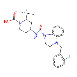 CC(C)(C)C1CC(NC(=O)N2CCN(Cc3ccccc3F)c3ccccc32)CCN1C(=O)O